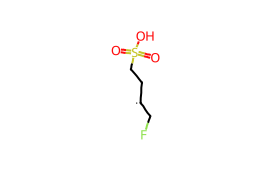 O=S(=O)(O)CC[CH]CF